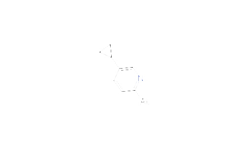 CC(=O)c1ccc(C2CC2)cn1